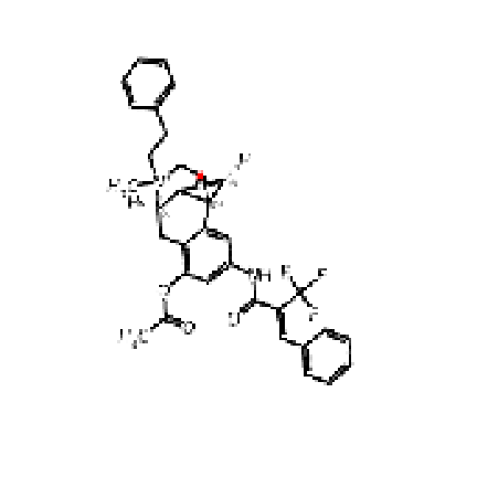 CC(=O)Oc1cc(NC(=O)C(=Cc2ccccc2)C(F)(F)F)cc2c1C[C@@H]1C34CCC[C@@H](O3)[C@]24CC[N+]1(C)CCc1ccccc1